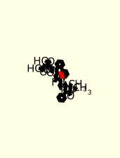 CCN(CC)C(=O)C(c1ccccc1)N1CCN(c2ccc(N(C(=O)CC(O)(CC(=O)O)C(=O)O)c3ccccc3-c3cccnc3)cc2F)CC1